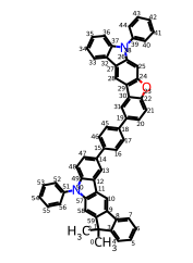 CC1(C)c2ccccc2-c2cc3c4cc(-c5ccc(-c6ccc7oc8cc9c(cc8c7c6)c6ccccc6n9-c6ccccc6)cc5)ccc4n(-c4ccccc4)c3cc21